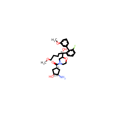 COCCCC[C@@](O)(c1cccc(F)c1-c1cccc(OC)c1)C1CN(C(=O)[C@H]2C[C@@H](N)[C@@H](O)C2)CCO1